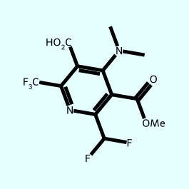 COC(=O)c1c(C(F)F)nc(C(F)(F)F)c(C(=O)O)c1N(C)C